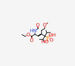 CCOC(=O)C(C=C(CCOC)C(C(C)C)(C(C)C)P(=O)(O)O)NC=O